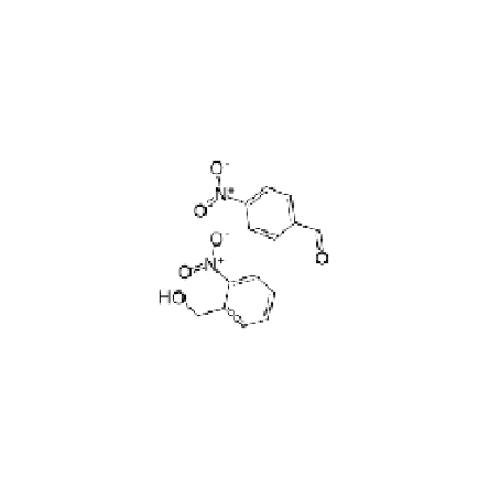 O=Cc1ccc([N+](=O)[O-])cc1.O=[N+]([O-])c1ccccc1CO